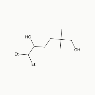 CCC(CC)C(O)CCC(C)(C)CO